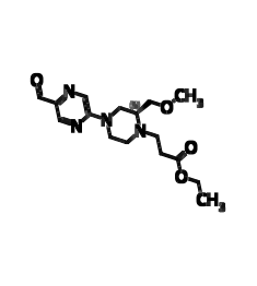 CCOC(=O)CCN1CCN(c2cnc(C=O)cn2)C[C@H]1COC